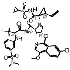 C=C[C@@H]1C[C@@]1(C(=O)NS(=O)(=O)C1CC1)N1C[C@H](Oc2ncc(OC)c3ccc(Cl)cc23)C[C@H]1C(=O)NC(=O)[C@@H](Nc1cccc(S(=O)(=O)N(C)C)c1)C(C)(C)C